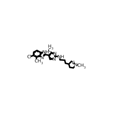 Cc1nc(NCCCC2CCN(C)CC2)ncc1-c1nc2c(C)c(Cl)ccc2[nH]1